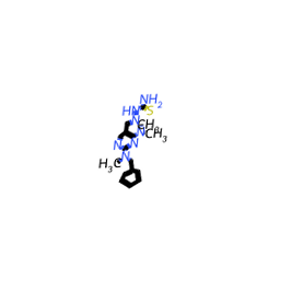 CN(C)c1nc(N(C)Cc2ccccc2)ncc1C=NNC(N)=S